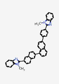 Cn1c(-c2ccc(-c3ccc4c(-c5ccc6cc(-c7nc8ccccc8n7C)ccc6c5)cccc4c3)cc2)nc2ccccc21